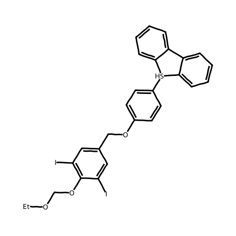 CCOCOc1c(I)cc(COc2ccc([SH]3c4ccccc4-c4ccccc43)cc2)cc1I